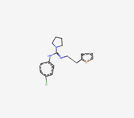 Clc1ccc(NC(=NCCc2cccs2)N2CCCC2)cc1